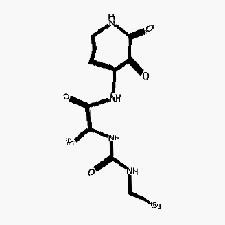 CC(C)C(NC(=O)NCC(C)(C)C)C(=O)NC1CCNC(=O)C1=O